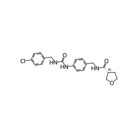 O=C(NCc1ccc(Cl)cc1)Nc1ccc(CNC(=O)[C@@H]2CCOC2)cc1